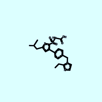 CCc1nccn1Cc1ccc(-c2cc(CC(C)C)sc2S(=O)(=O)NC(=O)O)cc1